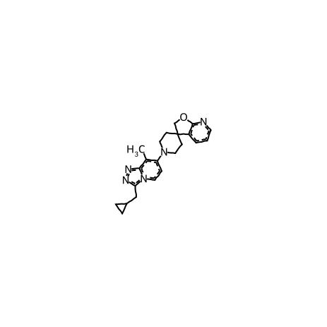 Cc1c(N2CCC3(CC2)COc2ncccc23)ccn2c(CC3CC3)nnc12